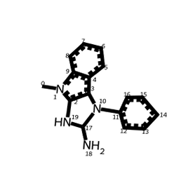 Cn1c2c(c3ccccc31)N(c1ccccc1)C(N)N2